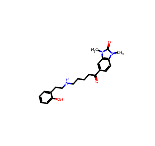 Cn1c(=O)n(C)c2cc(C(=O)CCCCNCCc3ccccc3O)ccc21